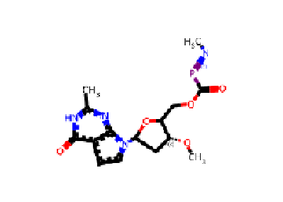 C/N=P/C(=O)OCC1OC(n2ccc3c(=O)[nH]c(C)nc32)C[C@H]1OC